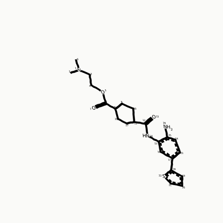 CN(C)CCOC(=O)C1CCC(C(=O)Nc2cc(-c3cccs3)ccc2N)CC1